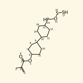 C=C(C)C(=O)OC1CCC(C2CCC(POSS)CC2)CC1